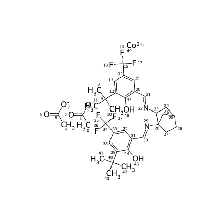 CC(=O)[O-].CC(=O)[O-].CC(C)(C)c1cc(C(F)(F)F)cc(C=NC2CC3CCC2(N=Cc2cc(C(F)(F)F)cc(C(C)(C)C)c2O)C3)c1O.[Co+2]